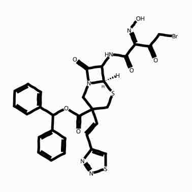 O=C(CBr)C(=NO)C(=O)NC1C(=O)N2CC(C=Cc3csnn3)(C(=O)OC(c3ccccc3)c3ccccc3)CS[C@H]12